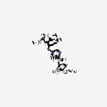 C=C(/C=C\C(=C/N)Cc1c[nH]c(=C)/c1=C\C(C#N)=C/N)NCC(/C=C\C(=C)OC)=C/N